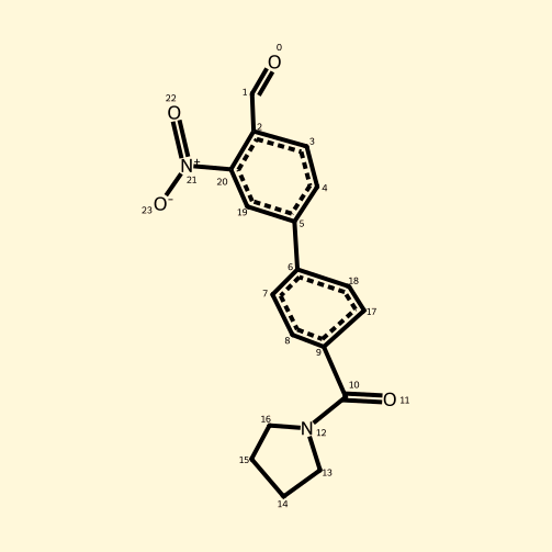 O=Cc1ccc(-c2ccc(C(=O)N3CCCC3)cc2)cc1[N+](=O)[O-]